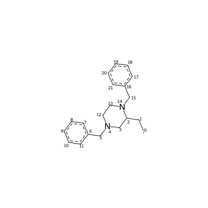 [CH2]CC1CN(Cc2ccccc2)CCN1Cc1ccccc1